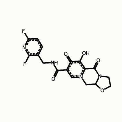 O=C(NCc1ccc(F)nc1F)c1cn2c(c(O)c1=O)C(=O)N1CCOC1C2